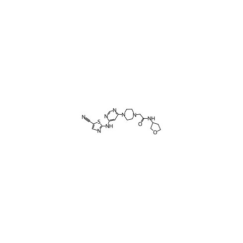 N#Cc1cnc(Nc2cc(N3CCN(CC(=O)NC4CCOC4)CC3)ncn2)s1